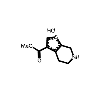 COC(=O)c1csc2c1CCNC2.Cl